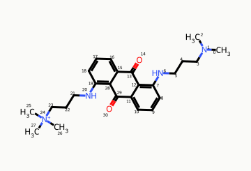 CN(C)CCCNc1cccc2c1C(=O)c1cccc(NCCC[N+](C)(C)C)c1C2=O